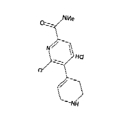 CNC(=O)c1ccc(C2=CCNCC2)c(Cl)n1.Cl